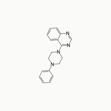 c1ccc(N2CCN(c3ncnc4ccccc34)CC2)cc1